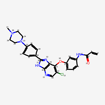 C=CC(=O)Nc1cccc(Oc2c(Cl)cnc3[nH]c(-c4ccc(N5CCN(C)CC5)cc4)nc23)c1